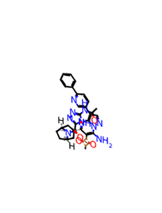 CC(=O)Nc1nnc(C(=O)N2[C@@H]3CC[C@H]2C[C@H](c2nc4c(-c5ccc(-c6ccccc6)nc5)cnn4c(N)c2S(C)(=O)=O)C3)[nH]1